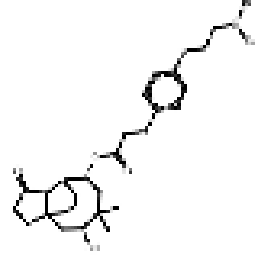 CCN(CC)CCOc1ccc(SCC(=O)O[C@@H]2CC(C)(C)[C@@H](O)CC34CCCC2C3C(=O)CC4)cc1